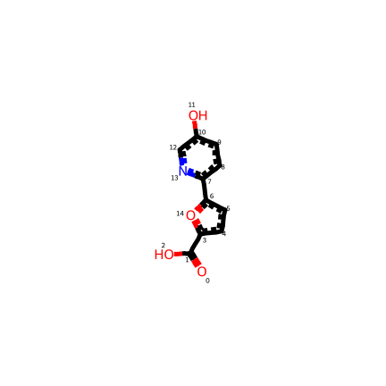 O=C(O)c1ccc(-c2ccc(O)cn2)o1